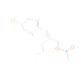 CCC/C(=C\c1ccc(Cl)cc1)COC(C)=O